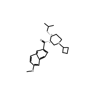 COc1ccc2cc(C(=O)[C@H]3CN(C4CCC4)CC[C@H]3CC(C)C)ccc2c1